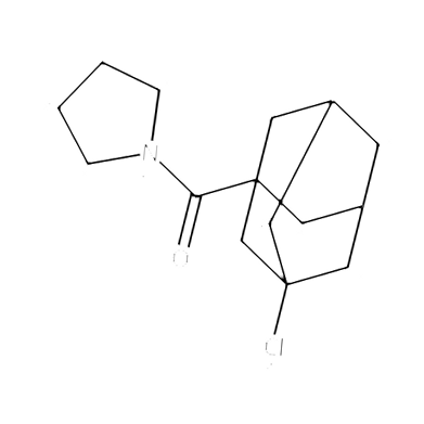 O=C(N1CCCC1)C12CC3CC(CC(Cl)(C3)C1)C2